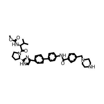 COC(=O)N[C@H](C(=O)N1CCC[C@H]1c1nc(-c2ccc(-c3ccc(NC(=O)c4ccc(CN5CCNCC5)cc4)cc3)cc2)c[nH]1)C(C)C